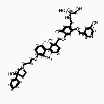 Cc1c(COc2cc(OCc3cncc(C#N)c3)c(CNC(CO)C(=O)O)cc2Cl)cccc1-c1cccc(OCCCN2CCC(O)(c3ccccc3)C2)c1C